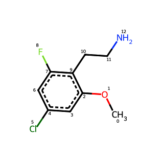 COc1cc(Cl)cc(F)c1CCN